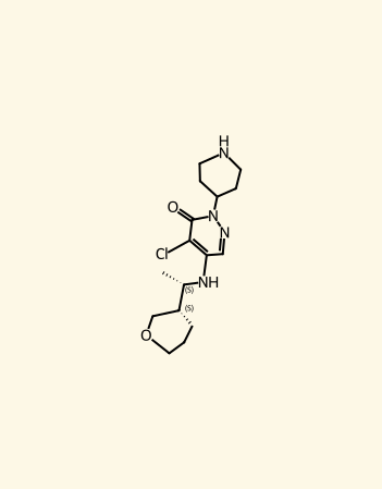 C[C@H](Nc1cnn(C2CCNCC2)c(=O)c1Cl)[C@@H]1CCCOC1